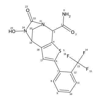 NC(=O)C1c2sc(-c3ccccc3C(F)(F)F)cc2C2CN1C(=O)N2O